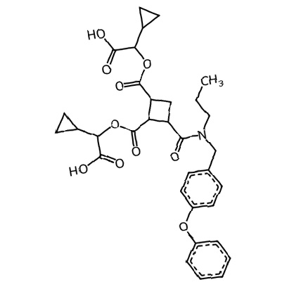 CCCN(Cc1ccc(Oc2ccccc2)cc1)C(=O)C1CC(C(=O)OC(C(=O)O)C2CC2)C1C(=O)OC(C(=O)O)C1CC1